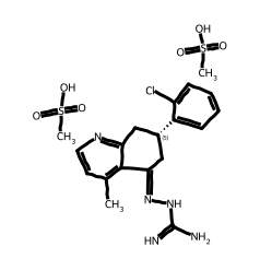 CS(=O)(=O)O.CS(=O)(=O)O.Cc1ccnc2c1C(=NNC(=N)N)C[C@@H](c1ccccc1Cl)C2